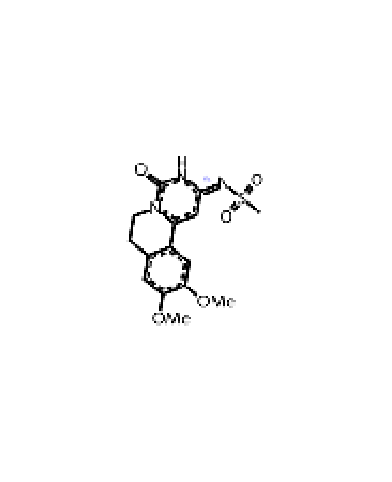 COc1cc2c(cc1OC)-c1c/c(=N\S(C)(=O)=O)[nH]c(=O)n1CC2